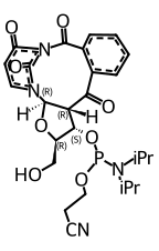 CC(C)N(C(C)C)P(OCCC#N)O[C@H]1[C@H]2C(=O)c3ccccc3C(=O)n3c(=O)ccn(c3=O)[C@@H]2O[C@@H]1CO